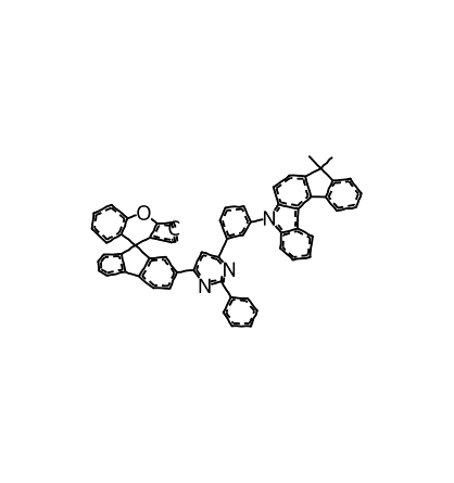 CC1(C)c2ccccc2-c2c1ccc1c2c2ccccc2n1-c1cccc(-c2cc(-c3ccc4c(c3)C3(c5ccccc5Oc5ccccc53)c3ccccc3-4)nc(-c3ccccc3)n2)c1